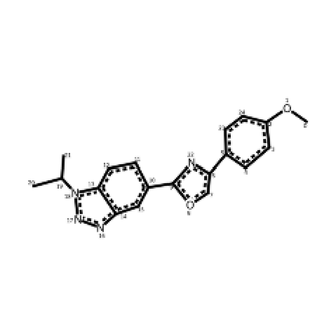 COc1ccc(-c2coc(-c3ccc4c(c3)nnn4C(C)C)n2)cc1